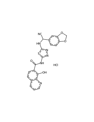 Cl.N#CC(Nc1nnc(NC(=O)c2ccc3cccnc3c2O)s1)c1ccc2c(c1)OCO2